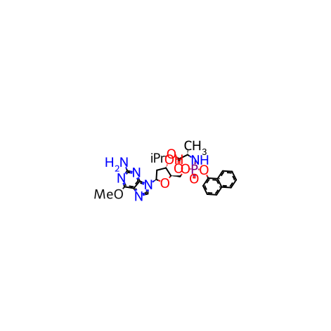 COc1nc(N)nc2c1ncn2[C@H]1C[C@H](O)[C@@H](COP(=O)(N[C@@H](C)C(=O)OC(C)C)Oc2cccc3ccccc23)O1